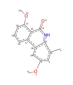 COc1cc(C)c2[nH]c(=O)c3c(OC)cccc3c2c1